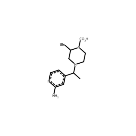 CC(c1ccnc(N)c1)N1CCN(C(=O)O)C(C(C)(C)C)C1